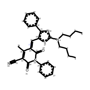 CCCCN(CCCC)c1nc(-c2ccccc2)c(/C=C2\C(=O)N(c3ccccc3)C(=O)C(C#N)=C2C)s1